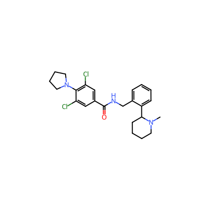 CN1CCCCC1c1ccccc1CNC(=O)c1cc(Cl)c(N2CCCC2)c(Cl)c1